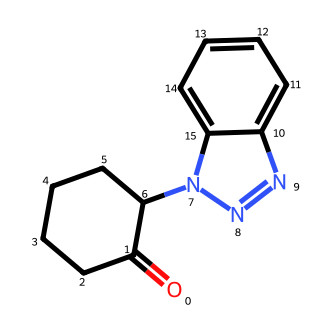 O=C1CCCCC1n1nnc2ccccc21